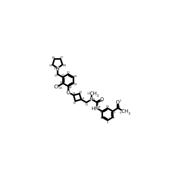 CC(=O)c1cccc(NC(=O)N(C)CC2CC(Oc3cccc(CN4CCCC4)c3Cl)C2)c1